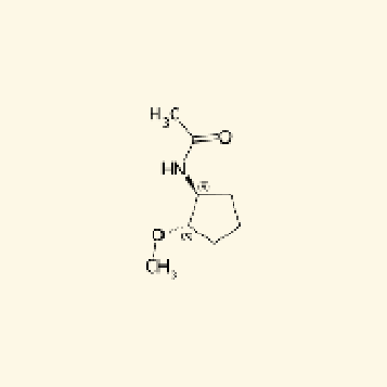 CO[C@H]1CCC[C@@H]1NC(C)=O